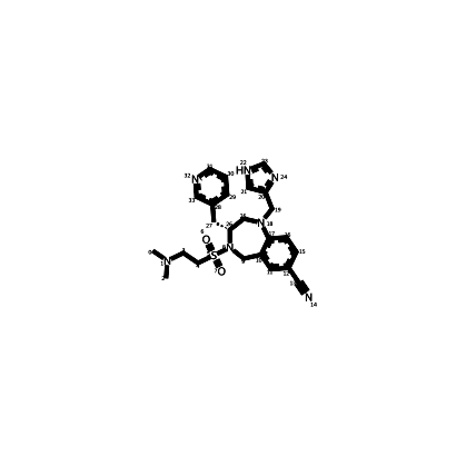 CN(C)CCS(=O)(=O)N1Cc2cc(C#N)ccc2N(Cc2c[nH]cn2)C[C@H]1Cc1cccnc1